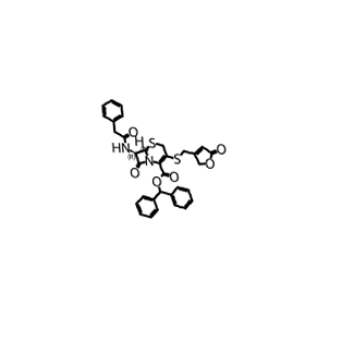 O=C(Cc1ccccc1)N[C@@H]1C(=O)N2C(C(=O)OC(c3ccccc3)c3ccccc3)=C(SCC3=CC(=O)OC3)CS[C@H]12